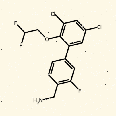 NCc1ccc(-c2cc(Cl)cc(Cl)c2OCC(F)F)cc1F